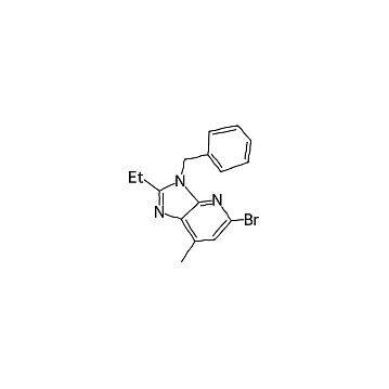 CCc1nc2c(C)cc(Br)nc2n1Cc1ccccc1